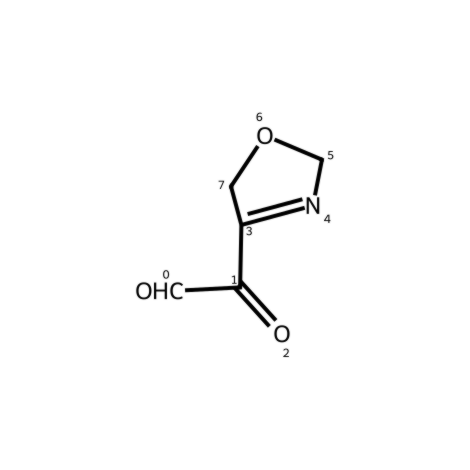 O=CC(=O)C1=NCOC1